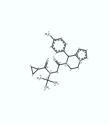 Cc1ccc(C2c3cccn3CCN2C(=O)CN(C(=O)C2CC2)C(C)(C)C)cc1